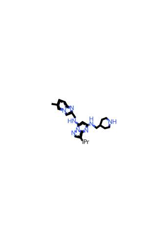 Cc1ccc2nc(CNc3cc(NCC4CCNCC4)nc4c(C(C)C)cnn34)cn2c1